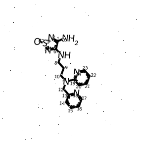 Nc1n[s+]([O-])nc1NCCCN(Cc1ccccn1)c1ccccn1